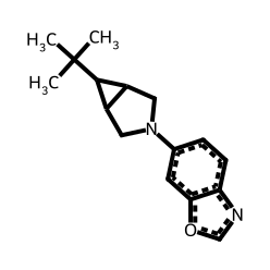 CC(C)(C)C1C2CN(c3ccc4ncoc4c3)CC21